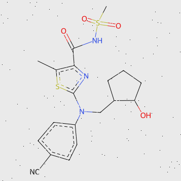 Cc1sc(N(CC2CCCC2O)c2ccc(C#N)cc2)nc1C(=O)NS(C)(=O)=O